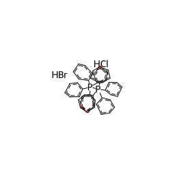 Br.Cl.c1ccc(P(c2ccccc2)(c2ccccc2)(c2ccccc2)P(c2ccccc2)(c2ccccc2)(c2ccccc2)c2ccccc2)cc1